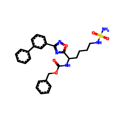 NS(=O)(=O)NCCCCC(NC(=O)OCc1ccccc1)c1nc(-c2cccc(-c3ccccc3)c2)no1